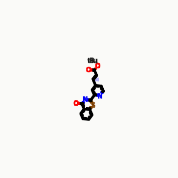 CC(C)(C)OC(=O)/C=C/c1ccnc(-c2nc(=O)c3ccccc3s2)c1